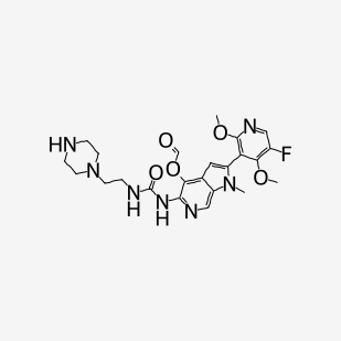 COc1ncc(F)c(OC)c1-c1cc2c(OC=O)c(NC(=O)NCCN3CCNCC3)ncc2n1C